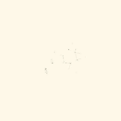 C=C(C)C(=O)OC1C(F)C(F)(F)C(F)(F)C(F)(F)C1(F)F